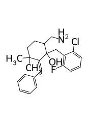 CC1(C)CCC(CN)C(O)(Cc2c(F)cccc2Cl)C1=Cc1ccccc1